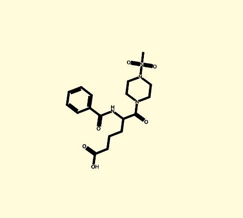 CS(=O)(=O)N1CCN(C(=O)C(CCCC(=O)O)NC(=O)c2ccccc2)CC1